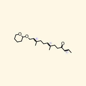 C/C=C/C(=O)CC/C(C)=C/CC/C(C)=C/COC1CCCCO1